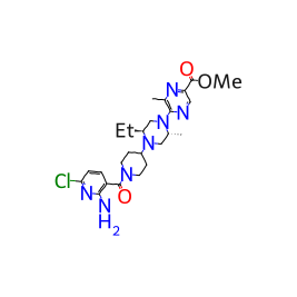 CC[C@H]1CN(c2ncc(C(=O)OC)nc2C)[C@H](C)CN1C1CCN(C(=O)c2ccc(Cl)nc2N)CC1